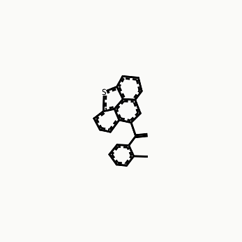 C=C(c1ccccc1C)c1cc2cccc3sc4cccc1c4c23